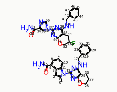 Cc1cc2c(C(N)=O)cccc2n1-c1nc(NCc2ccccc2)c2c(n1)OCCC2.NC(=O)c1cn(-c2nc(NCc3ccccc3)c3c(n2)OCC(F)C3)cn1